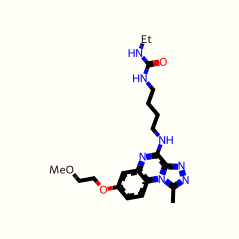 CCNC(=O)NCCCCNc1nc2cc(OCCOC)ccc2n2c(C)nnc12